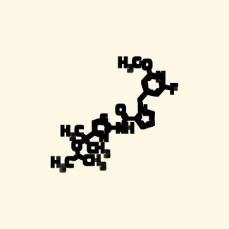 COc1cc(Cn2cccc2C(=O)Nc2nc(C(C)(C)OC(C)C)cs2)cc(F)n1